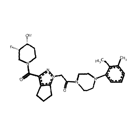 Cc1cccc(N2CCN(C(=O)Cn3nc(C(=O)N4CC[C@@H](O)[C@@H](F)C4)c4c3CCC4)CC2)c1C